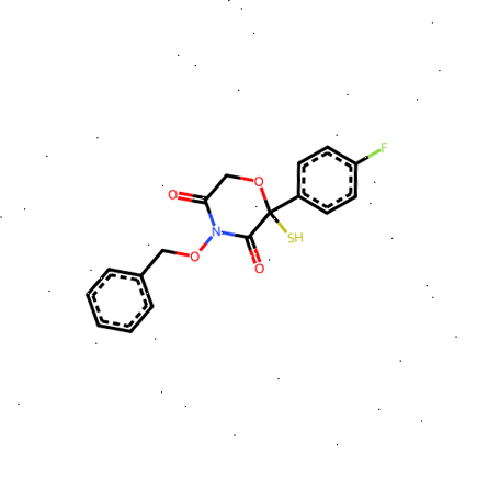 O=C1COC(S)(c2ccc(F)cc2)C(=O)N1OCc1ccccc1